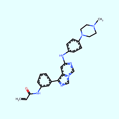 C=CC(=O)Nc1cccc(-c2ncn3cnc(Nc4ccc(N5CCN(C)CC5)cc4)cc23)c1